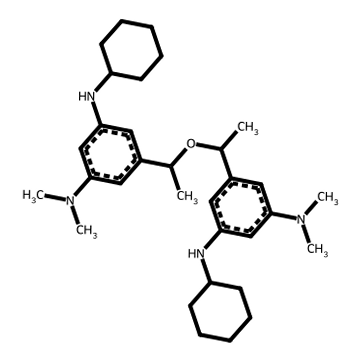 CC(OC(C)c1cc(NC2CCCCC2)cc(N(C)C)c1)c1cc(NC2CCCCC2)cc(N(C)C)c1